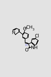 COc1ccc(/C=C2/C(=O)Nc3ccc(Cl)cc32)cc1-c1cccnc1